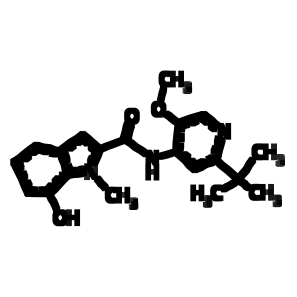 COc1cnc(C(C)(C)C)cc1NC(=O)c1cc2cccc(O)c2n1C